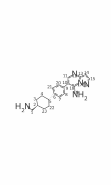 NC[C@H]1CC[C@H](c2ccc(-c3cnc4ccnn4c3N)cc2)CC1